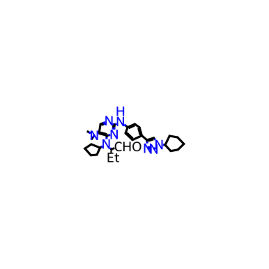 CC[C@H](C=O)N(c1nc(Nc2ccc(-c3cn(C4CCCCC4)nn3)cc2)ncc1N(C)C)C1CCCC1